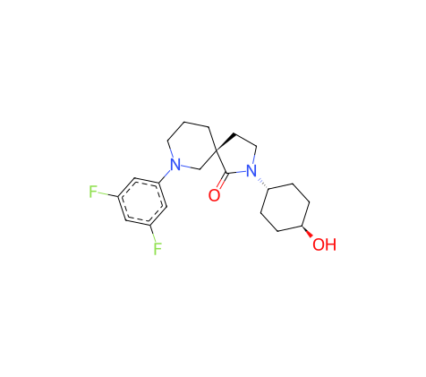 O=C1N([C@H]2CC[C@H](O)CC2)CC[C@@]12CCCN(c1cc(F)cc(F)c1)C2